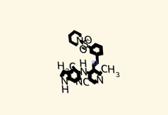 Cc1ncc(C#N)c(Nc2ccc3[nH]ccc3c2C)c1/C=C/c1cccc(S(=O)(=O)N2CCCCC2)c1